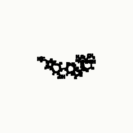 Cc1nc2cc(O)c(-c3cc4ccn([C@@H]5CCNC(C)(C)[C@@H]5F)c4nn3)cc2s1